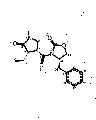 CC[C@@H]1C(=O)NC[C@H]1C(=O)N1C(=O)OC[C@H]1Cc1ccccc1